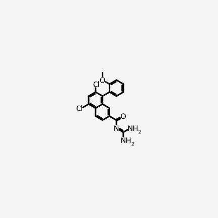 COc1ccccc1-c1c(Cl)cc(Cl)c2ccc(C(=O)N=C(N)N)cc12